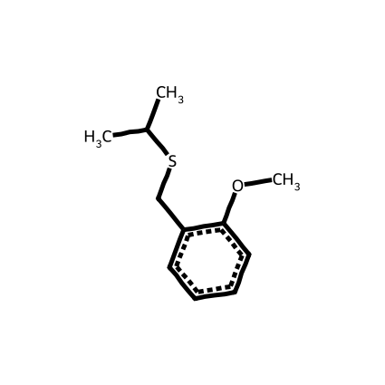 COc1ccccc1CSC(C)C